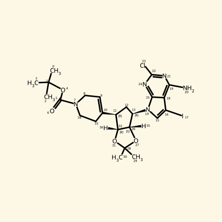 CC(C)(C)OC(=O)N1CC=C([C@H]2C[C@@H](n3cc(I)c4c(N)nc(Cl)nc43)[C@@H]3OC(C)(C)O[C@@H]32)CC1